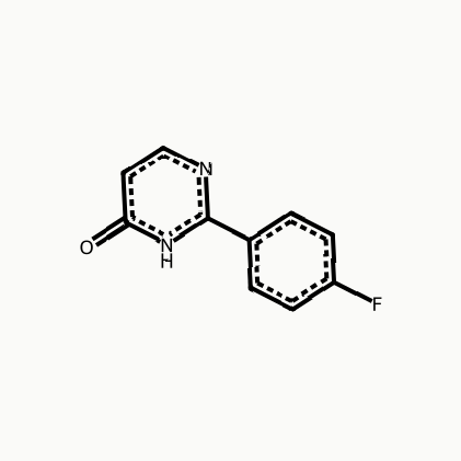 O=c1ccnc(-c2ccc(F)cc2)[nH]1